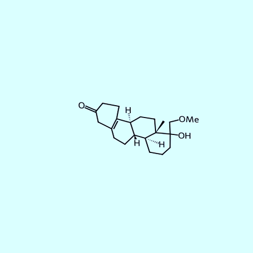 COCC1(O)CCC[C@H]2[C@@H]3CCC4=C(CCC(=O)C4)[C@H]3CC[C@@]21C